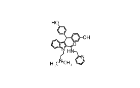 CN(C)CCn1c(C(=O)NCc2ccccn2)c(C(c2ccc(O)cc2)c2ccc(O)cc2)c2ccccc21